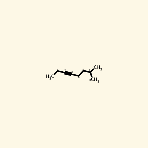 CCC#CCC[C](C)C